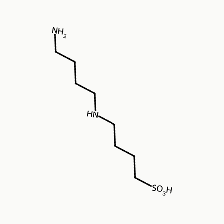 NCCCCNCCCCS(=O)(=O)O